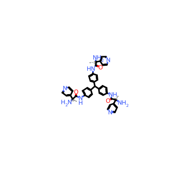 C[C@@](N)(C(=O)Nc1ccc(C(c2ccc(NC(=O)[C@@](C)(N)c3ccncc3)cc2)c2ccc(NC(=O)[C@@](C)(N)c3ccncc3)cc2)cc1)c1ccncc1